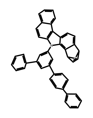 C1=CC2SC1c1ccc3c4c5ccccc5ccc4n(-c4cc(-c5ccccc5)cc(-c5ccc(-c6ccccc6)cc5)c4)c3c12